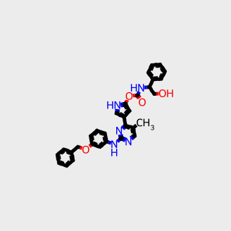 Cc1cnc(Nc2cccc(OCc3ccccc3)c2)nc1-c1c[nH]c(OC(=O)NC(CO)c2ccccc2)c1